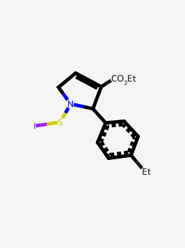 CCOC(=O)C1=CCN(SI)C1c1ccc(CC)cc1